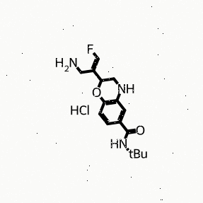 CC(C)(C)NC(=O)c1ccc2c(c1)NCC(/C(=C/F)CN)O2.Cl